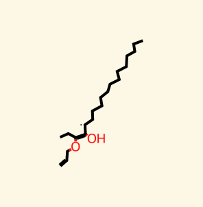 C=CCO/C(CC)=C(\O)[CH]CCCCCCCCCCCCC